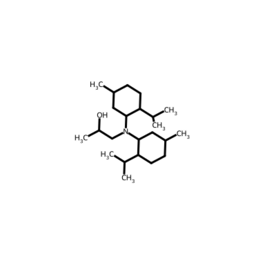 CC(O)CN(C1CC(C)CCC1C(C)C)C1CC(C)CCC1C(C)C